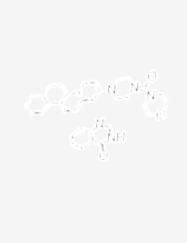 O=C(N1CCOCC1)N1CCN(c2ccc3c4c(ccc3c2)C2=C(CCC=C2)CC4)CC1.O=c1[nH]cnc2ccccc12